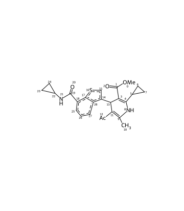 COC(=O)C1=C(C2CC2)NC(C)=C(C(C)=O)C1c1csc2c(C(=O)NC3CC3)cccc12